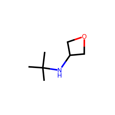 CC(C)(C)NC1COC1